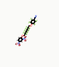 N#Cc1c(F)c(F)c(OCC(F)(F)C(F)(F)C(F)(F)C(F)(F)COc2ccc([N+](=O)[O-])cc2[N+](=O)[O-])c(F)c1F